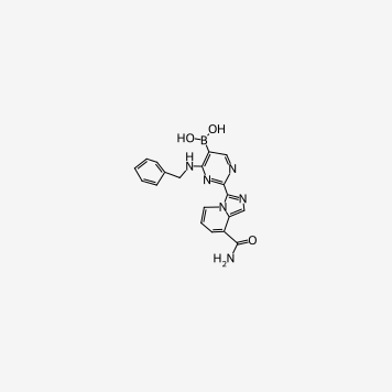 NC(=O)c1cccn2c(-c3ncc(B(O)O)c(NCc4ccccc4)n3)ncc12